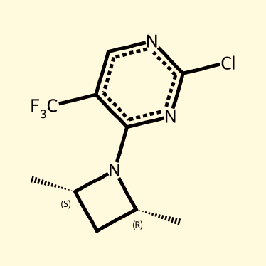 C[C@@H]1C[C@H](C)N1c1nc(Cl)ncc1C(F)(F)F